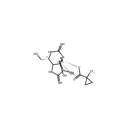 C[C@]1(O)[C@@H](OC(=O)C2(C(F)(F)F)CC2)CN2C(=N)N[C@@H](CO)C3NC(=N)N(O)C321